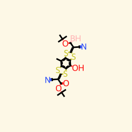 B=C(OC(C)(C)C)/C(C#N)=C1\Sc2c(C)c3c(c(O)c2S1)S/C(=C(/C#N)C(=O)OC(C)(C)C)S3